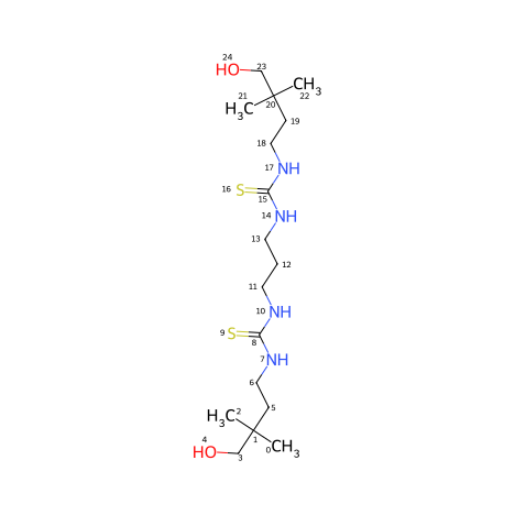 CC(C)(CO)CCNC(=S)NCCCNC(=S)NCCC(C)(C)CO